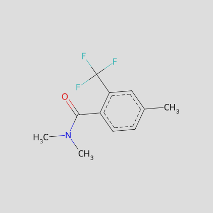 Cc1ccc(C(=O)N(C)C)c(C(F)(F)F)c1